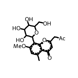 COc1cc(C)c2c(=O)cc(CC(C)=O)oc2c1C1OC(CO)C(O)C(O)C1O